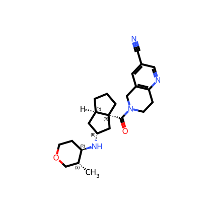 C[C@@H]1COCC[C@H]1N[C@@H]1C[C@H]2CCC[C@@]2(C(=O)N2CCc3ncc(C#N)cc3C2)C1